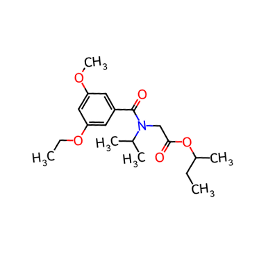 CCOc1cc(OC)cc(C(=O)N(CC(=O)OC(C)CC)C(C)C)c1